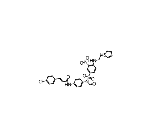 O=CN(c1ccc(NC(=O)C=Cc2ccc(Cl)cc2)cc1)S(=O)(=O)c1ccc(NCC[SH]2C=CC=C2)c([N+](=O)[O-])c1